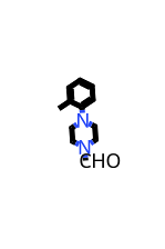 Cc1ccccc1N1CCN(C=O)CC1